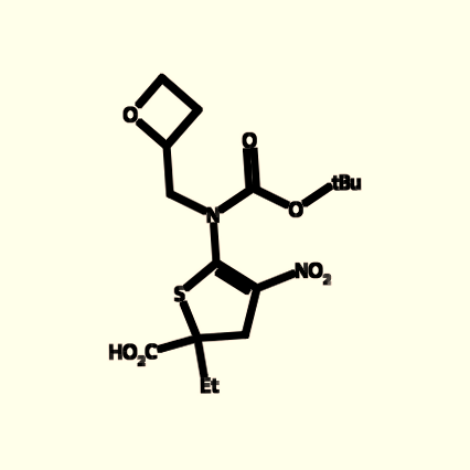 CCC1(C(=O)O)CC([N+](=O)[O-])=C(N(CC2CCO2)C(=O)OC(C)(C)C)S1